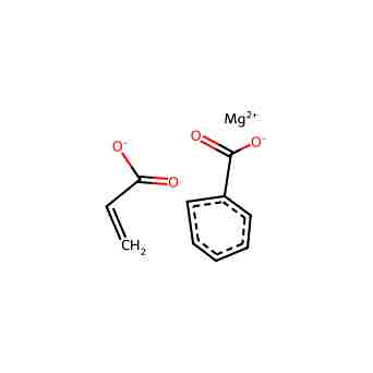 C=CC(=O)[O-].O=C([O-])c1ccccc1.[Mg+2]